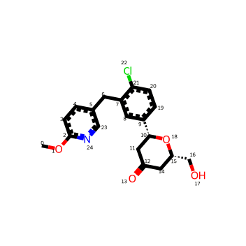 COc1ccc(Cc2cc([C@H]3CC(=O)C[C@@H](CO)O3)ccc2Cl)cn1